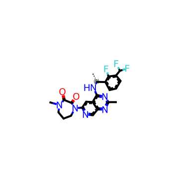 Cc1nc(N[C@H](C)c2cccc(C(F)F)c2F)c2cc(N3CCCN(C)C(=O)C3=O)ncc2n1